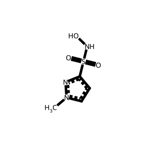 Cn1ccc(S(=O)(=O)NO)n1